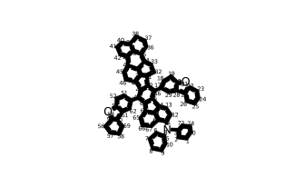 c1ccc(N(c2ccccc2)c2ccc3c4c(-c5ccc6oc7ccccc7c6c5)c5c6ccc7c8cccc9cccc(c%10ccc(c5c(-c5ccc%11oc%12ccccc%12c%11c5)c4c4cccc2c43)c6c%107)c98)cc1